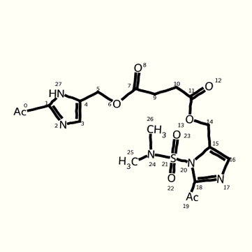 CC(=O)c1ncc(COC(=O)CCC(=O)OCc2cnc(C(C)=O)n2S(=O)(=O)N(C)C)[nH]1